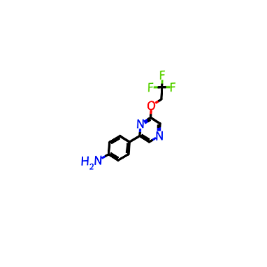 Nc1ccc(-c2cncc(OCC(F)(F)F)n2)cc1